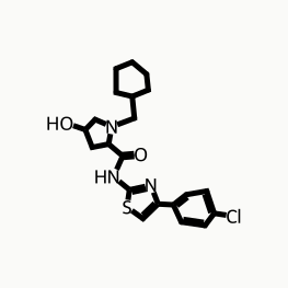 O=C(Nc1nc(-c2ccc(Cl)cc2)cs1)C1CC(O)CN1CC1CCCCC1